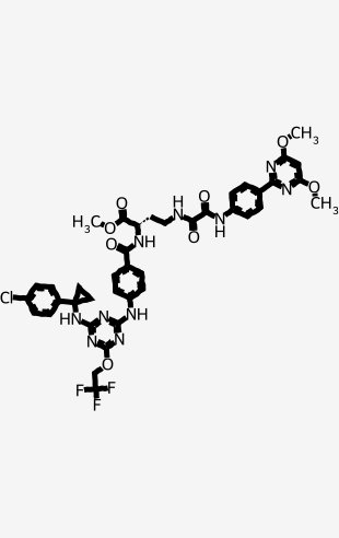 COC(=O)[C@H](CCNC(=O)C(=O)Nc1ccc(-c2nc(OC)cc(OC)n2)cc1)NC(=O)c1ccc(Nc2nc(NC3(c4ccc(Cl)cc4)CC3)nc(OCC(F)(F)F)n2)cc1